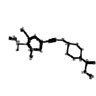 CO[C@@H](C)c1c(Br)cc(C#CCN2CCN(C(=O)OC(C)(C)C)CC2)c[n+]1[O-]